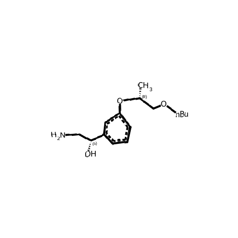 CCCCOC[C@@H](C)Oc1cccc([C@H](O)CN)c1